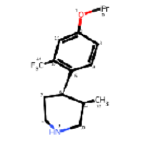 CC(C)Oc1ccc([C@@H]2CCNC[C@@H]2C)c(C(F)(F)F)c1